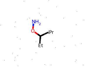 CCC(ON)C(C)C